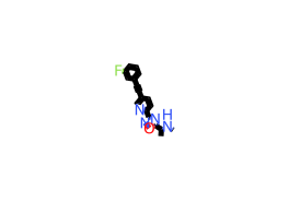 CNC(C)c1nc(-c2ccc(C#Cc3cccc(F)c3)cn2)no1